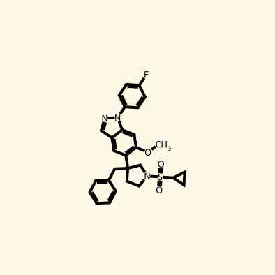 COc1cc2c(cnn2-c2ccc(F)cc2)cc1C1(Cc2ccccc2)CCN(S(=O)(=O)C2CC2)C1